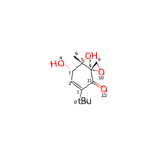 CC(C)(C)C1=C[C@H](O)[C@](C)(O)[C@@]2(CO2)C1=O